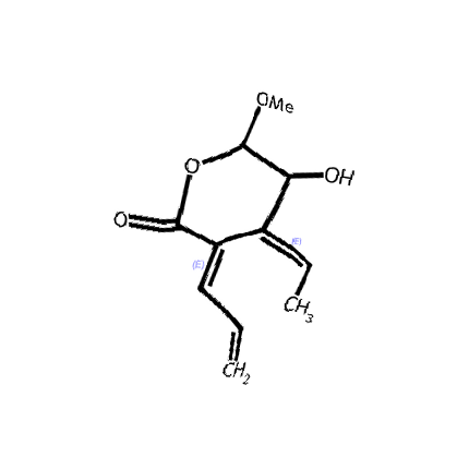 C=C/C=C1/C(=O)OC(OC)C(O)/C1=C/C